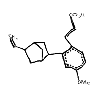 C=CC1CC2CC1CC2c1cc(OC)ccc1C=CC(=O)O